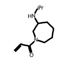 C=CC(=O)N1CCCCC(NC(C)C)C1